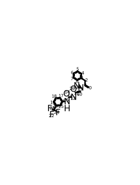 C=C(Cc1ccccc1)[n+]1cc([N-]C(=O)Nc2cccc(C(F)(F)F)c2)on1